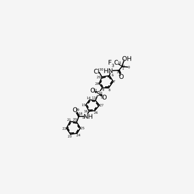 C[C@@](O)(C(=O)Nc1ccc(S(=O)(=O)c2ccc(NC(=O)c3ccccc3)cc2)cc1Cl)C(F)(F)F